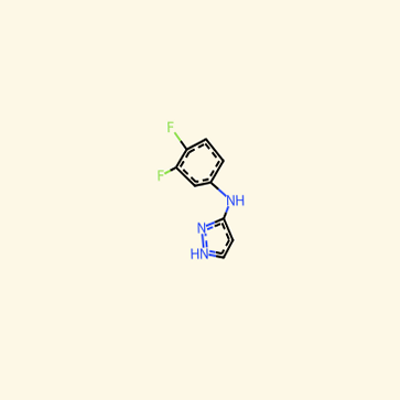 Fc1ccc(Nc2cc[nH]n2)cc1F